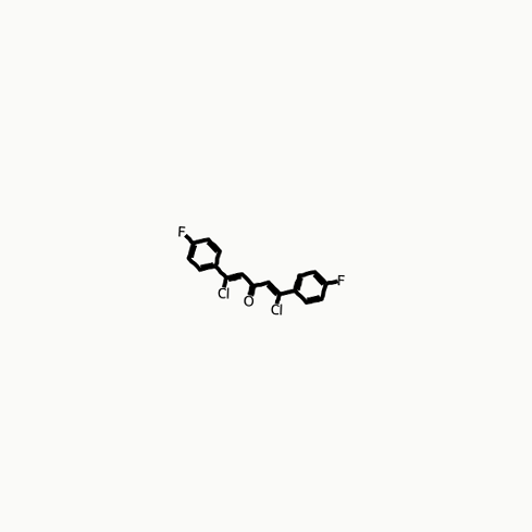 O=C(C=C(Cl)c1ccc(F)cc1)C=C(Cl)c1ccc(F)cc1